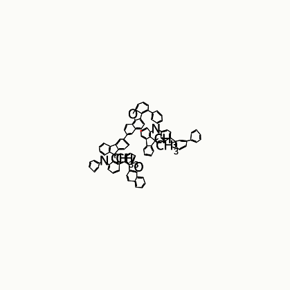 CC1(C)c2ccccc2-c2cccc(N(c3ccc(-c4cccc(-c5ccccc5)c4)cc3)c3cccc(-c4cccc5oc6c7ccc(-c8ccc9c(c8)-c8cccc(N(c%10ccccc%10)c%10cccc(-c%11cccc%12oc%13c%14ccccc%14ccc%13c%11%12)c%10)c8C9(C)C)cc7ccc6c45)c3)c21